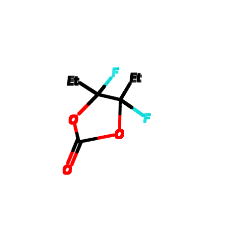 CCC1(F)OC(=O)OC1(F)CC